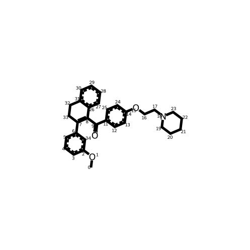 COc1cccc(C2=C(C(=O)c3ccc(OCCN4CCCCC4)cc3)c3ccccc3CC2)c1